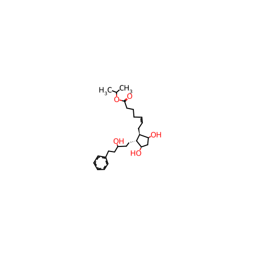 CC(C)OC(=O)CCC/C=C\C[C@@H]1[C@@H](CCC(O)CCc2ccccc2)[C@H](O)C[C@@H]1O